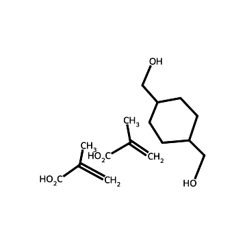 C=C(C)C(=O)O.C=C(C)C(=O)O.OCC1CCC(CO)CC1